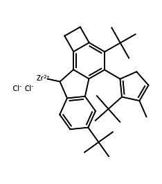 CC1=CCC(c2c3c(c4c(c2C(C)(C)C)CC4)[CH]([Zr+2])c2ccc(C(C)(C)C)cc2-3)=C1C(C)(C)C.[Cl-].[Cl-]